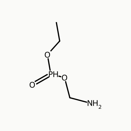 CCO[PH](=O)OCN